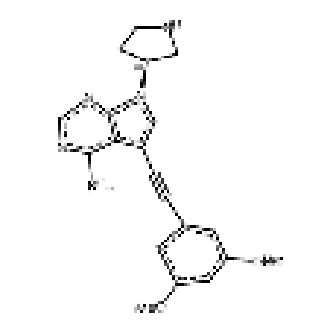 COc1cc(C#Cc2cn([C@H]3CCNC3)c3ncnc(N)c23)cc(OC)c1